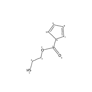 O=C(OCCS)C1C=CC=C1